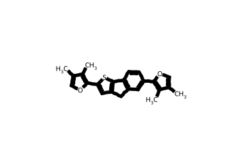 Cc1coc(-c2ccc3c(c2)Cc2cc(-c4occ(C)c4C)sc2-3)c1C